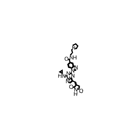 O=C1CC(=Cc2cnn3c(NC4CC4)nc(-n4cnc5cc(C(=O)NCCCN6CCCC6)ccc54)nc23)C(=O)N1